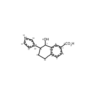 O=C(O)c1ccc2c(c1)C(O)C(n1ccnc1)CC2